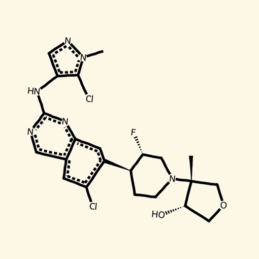 Cn1ncc(Nc2ncc3cc(Cl)c([C@@H]4CCN([C@]5(C)COC[C@@H]5O)C[C@H]4F)cc3n2)c1Cl